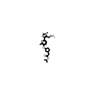 Cc1nc(-c2nnn(C)c2CN)ccc1OC1CCC(CC(=O)OC(C)C)C1